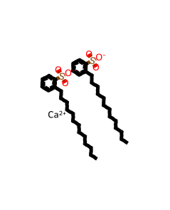 CCCCCCCCCCCCCc1ccccc1S(=O)(=O)[O-].CCCCCCCCCCCCCc1ccccc1S(=O)(=O)[O-].[Ca+2]